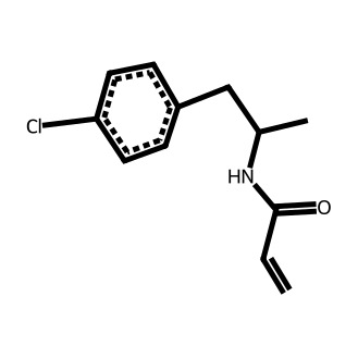 C=CC(=O)NC(C)Cc1ccc(Cl)cc1